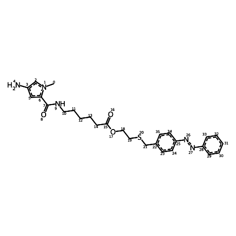 Cn1cc(N)cc1C(=O)NCCCCCC(=O)OCCSCc1ccc(N=Nc2ccccc2)cc1